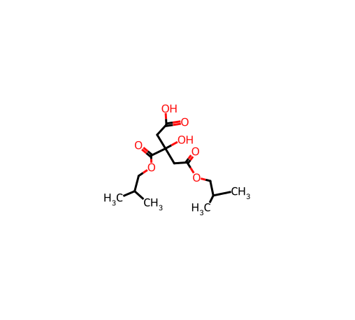 CC(C)COC(=O)CC(O)(CC(=O)O)C(=O)OCC(C)C